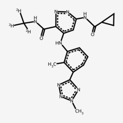 [2H]C([2H])([2H])NC(=O)c1nnc(NC(=O)C2CC2)cc1Nc1cccc(-c2nnn(C)n2)c1C